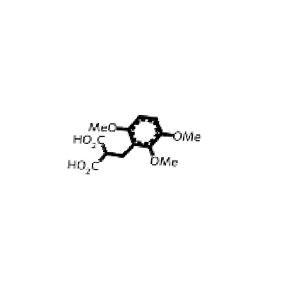 COc1ccc(OC)c(OC)c1CC(C(=O)O)C(=O)O